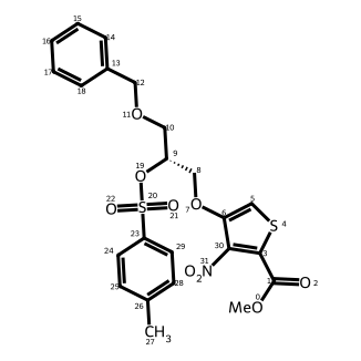 COC(=O)c1scc(OC[C@@H](COCc2ccccc2)OS(=O)(=O)c2ccc(C)cc2)c1[N+](=O)[O-]